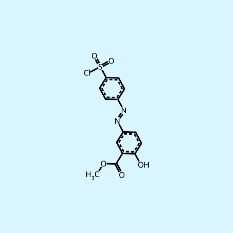 COC(=O)c1cc(/N=N/c2ccc(S(=O)(=O)Cl)cc2)ccc1O